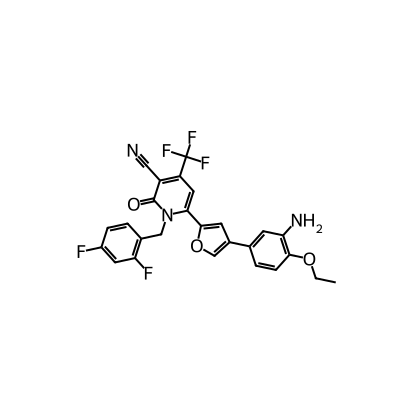 CCOc1ccc(-c2coc(-c3cc(C(F)(F)F)c(C#N)c(=O)n3Cc3ccc(F)cc3F)c2)cc1N